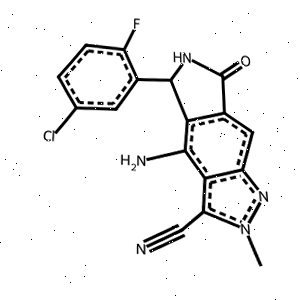 Cn1nc2cc3c(c(N)c2c1C#N)C(c1cc(Cl)ccc1F)NC3=O